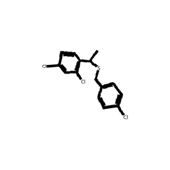 CC(SCc1ccc(Cl)cc1)c1ccc(Cl)cc1Cl